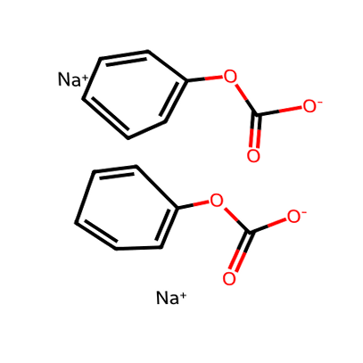 O=C([O-])Oc1ccccc1.O=C([O-])Oc1ccccc1.[Na+].[Na+]